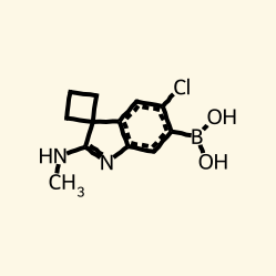 CNC1=Nc2cc(B(O)O)c(Cl)cc2C12CCC2